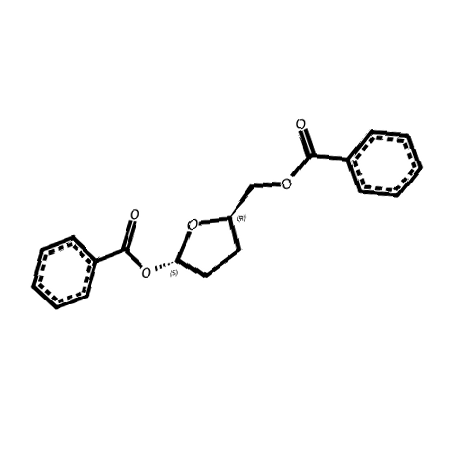 O=C(OC[C@H]1CC[C@H](OC(=O)c2ccccc2)O1)c1ccccc1